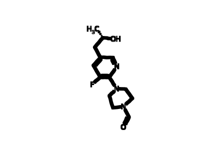 C[C@H](O)Cc1cnc(N2CCN(C=O)CC2)c(F)c1